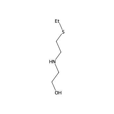 CCSCCNCCO